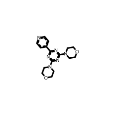 c1cc(-c2nc(N3CCOCC3)nc(N3CCOCC3)n2)ccn1